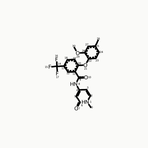 CN/C=C\C(=C/C=O)NC(=O)c1cc(C(F)(F)F)ccc1Oc1ccc(C)cc1OC